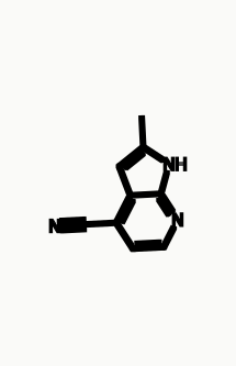 Cc1cc2c(C#N)ccnc2[nH]1